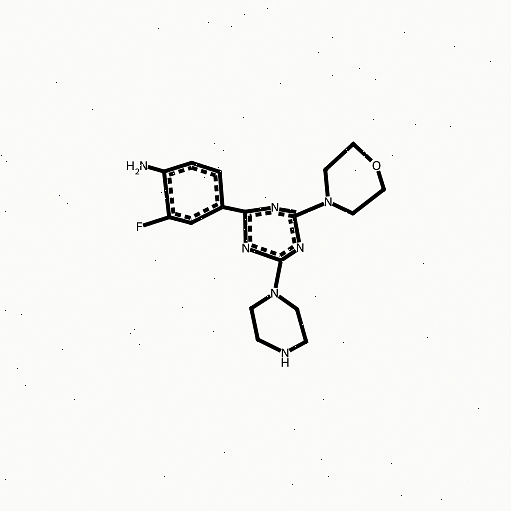 Nc1ccc(-c2nc(N3CCNCC3)nc(N3CCOCC3)n2)cc1F